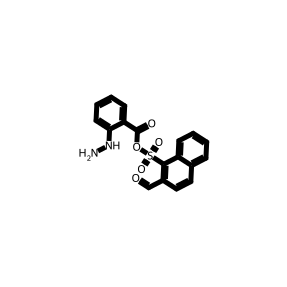 NNc1ccccc1C(=O)OS(=O)(=O)c1c(C=O)ccc2ccccc12